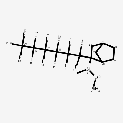 C[SiH](O[SiH3])C1(C(F)(F)C(F)(F)C(F)(F)C(F)(F)C(F)(F)C(F)(F)F)CC2CCC1C2